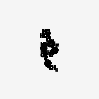 CN1CCN(CCC(=O)Nc2cc(Nc3cc(-c4cc(Cl)ccc4F)nnc3OCC(O)CO)ccn2)CC1